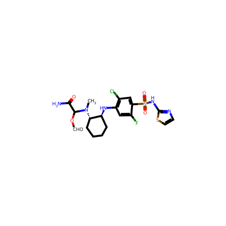 CN(C(OC=O)C(N)=O)[C@H]1CCCC[C@@H]1Nc1cc(F)c(S(=O)(=O)Nc2nccs2)cc1Cl